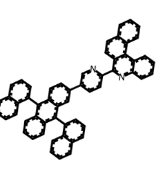 c1ccc2c(-c3c4ccccc4c(-c4cccc5ccccc45)c4cc(-c5ccc(-c6nc7ccccc7c7c6ccc6ccccc67)nc5)ccc34)cccc2c1